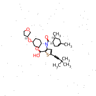 CC1=CC[C@H](C(=O)N(c2cc(C#CC(C)(C)C)sc2C(=O)O)[C@H]2CC[C@H](O[C@H]3CCOC3)CC2)[C@@H](C)C1